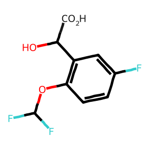 O=C(O)C(O)c1cc(F)ccc1OC(F)F